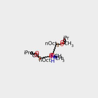 CCCCCCCCC(CCCCCCCCCOP(=O)(NCCN(C)C)OCCCCCCCCCC(CCCCCCCC)SCCCOC(=O)CC(C)c1ccc(C(C)C)cc1)SCCCOC(=O)CC(C)c1ccc(C(C)C)cc1